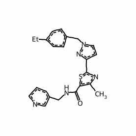 CCc1ccc(Cn2ccc(-c3nc(C)c(C(=O)NCc4cccnc4)s3)n2)cc1